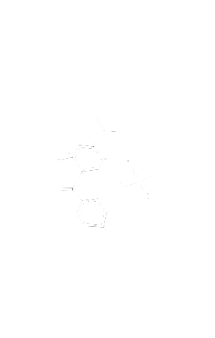 O=C(c1ccccc1)c1ccc([N+](=O)[O-])cc1Cl.O=P(O)(O)O